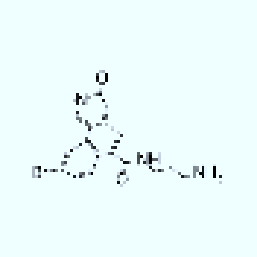 NCCCNC(=O)c1cc2c(c3cc(Br)ccc13)=C[N]C(=O)C=2